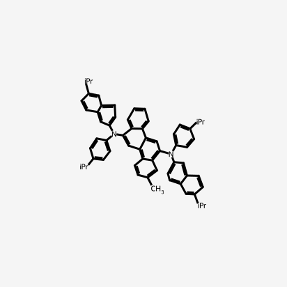 Cc1ccc2c(c1)c(N(c1ccc(C(C)C)cc1)c1ccc3cc(C(C)C)ccc3c1)cc1c3ccccc3c(N(c3ccc(C(C)C)cc3)c3ccc4cc(C(C)C)ccc4c3)cc21